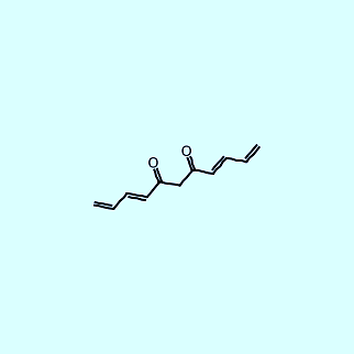 C=C/C=C/C(=O)CC(=O)/C=C/C=C